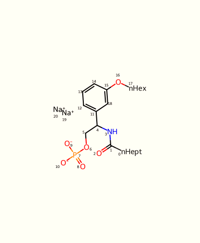 CCCCCCCC(=O)NC(COP(=O)([O-])[O-])c1cccc(OCCCCCC)c1.[Na+].[Na+]